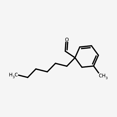 CCCCCCC1(C=O)C=CC=C(C)C1